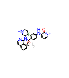 Cc1cccc2ccnc(N(C(=O)c3ccc(Nc4ccc[nH]c4=O)cc3F)[C@@H]3CCCNC3)c12